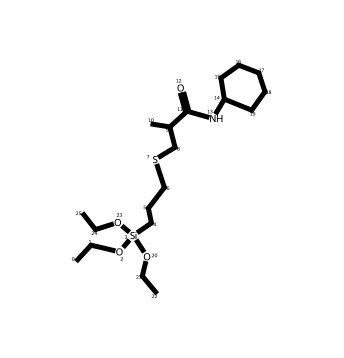 CCO[Si](CCCSCC(C)C(=O)NC1CCCCC1)(OCC)OCC